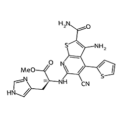 COC(=O)[C@H](Cc1c[nH]cn1)Nc1nc2sc(C(N)=O)c(N)c2c(-c2cccs2)c1C#N